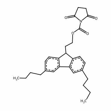 CCCCc1ccc2c(c1)-c1cc(CCCC)ccc1C2CCOC(=O)N1C(=O)CCC1=O